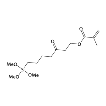 C=C(C)C(=O)OCCC(=O)CCCC[Si](OC)(OC)OC